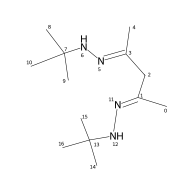 CC(CC(C)=NNC(C)(C)C)=NNC(C)(C)C